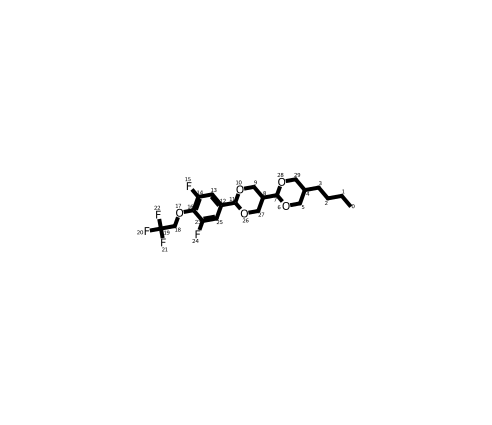 CCCCC1COC(C2COC(c3cc(F)c(OCC(F)(F)F)c(F)c3)OC2)OC1